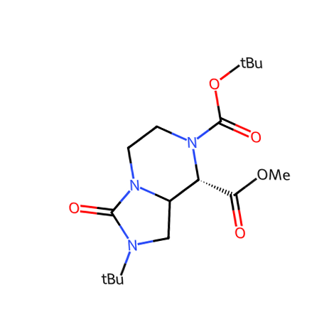 COC(=O)[C@@H]1C2CN(C(C)(C)C)C(=O)N2CCN1C(=O)OC(C)(C)C